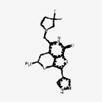 CC1Cc2c(CN3CCC(F)(F)C3)[nH]c(=O)c3sc(-c4cn[nH]c4)c(c23)O1